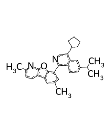 Cc1cc(-c2ncc(C3CCCC3)c3cc(C(C)C)ccc23)c2oc3nc(C)ccc3c2c1